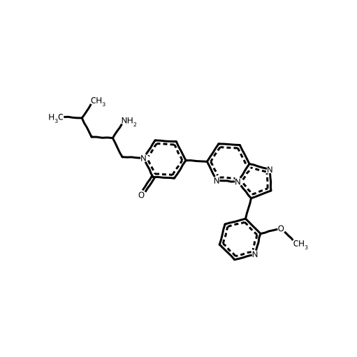 COc1ncccc1-c1cnc2ccc(-c3ccn(CC(N)CC(C)C)c(=O)c3)nn12